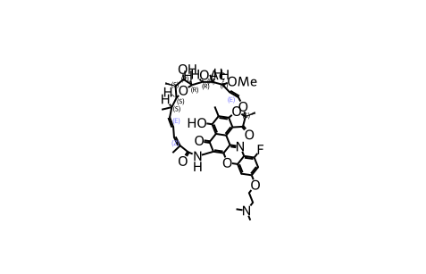 CO[C@H]1/C=C/O[C@@]2(C)Oc3c(C)c(O)c4c(=O)c(c5oc6cc(OCCN(C)C)cc(F)c6nc-5c4c3C2=O)NC(=O)/C(C)=C\C=C\[C@H](C)[C@@H]2O[C@H]([C@H](O)[C@@H]2C)[C@H](OC(C)=O)[C@@H]1C